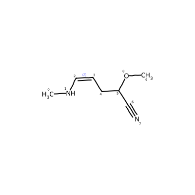 CN/C=C\CC(C#N)OC